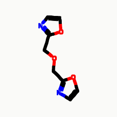 c1coc(COCc2ncco2)n1